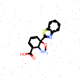 COC1(c2nc3ccccc3s2)C=CC=C(C(=O)O)C1N